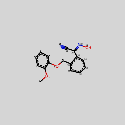 COc1ccccc1OCc1ccccc1/C(C#N)=N\O